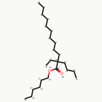 CCCCCCCCCCC(CC)(CCCC)C(=O)OCCCCCC